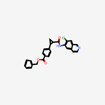 O=C(OCc1ccccc1)c1ccc(C2CC2C(=O)Nc2cc3ccncc3cc2Cl)cc1